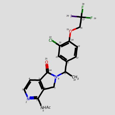 CC(=O)Nc1nccc2c1CN(C(C)c1ccc(OCC(F)(F)I)c(Cl)c1)C2=O